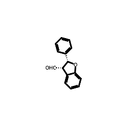 O=C[C@H]1c2ccccc2O[C@H]1c1ccccc1